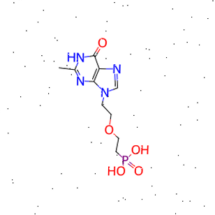 Cc1nc2c(ncn2CCOCCP(=O)(O)O)c(=O)[nH]1